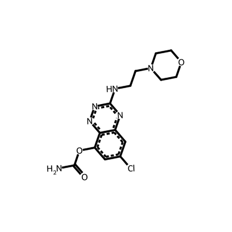 NC(=O)Oc1cc(Cl)cc2nc(NCCN3CCOCC3)nnc12